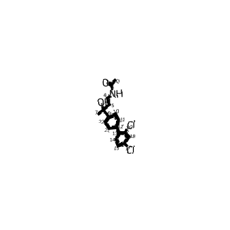 CC(=O)NCCC(C)(O)c1ccc(-c2ccc(Cl)cc2Cl)cc1